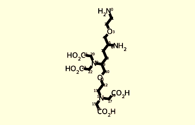 NCCOCC(N)CCC(COCCN(CC(=O)O)CC(=O)O)N(CC(=O)O)CC(=O)O